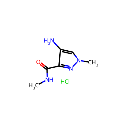 CNC(=O)c1nn(C)cc1N.Cl